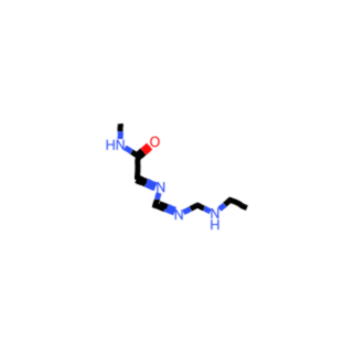 CCNC/N=C\N=C\C(=O)NC